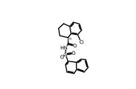 O=C(NS(=O)(=O)c1cccc2ccccc12)[C@H]1CCCc2cccc(Cl)c21